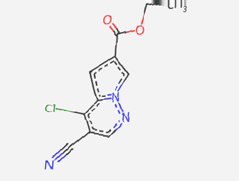 CCOC(=O)c1cc2c(Cl)c(C#N)cnn2c1